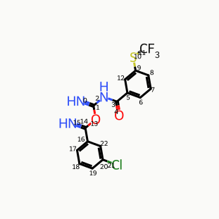 N=C(NC(=O)c1cccc(SC(F)(F)F)c1)OC(=N)c1cccc(Cl)c1